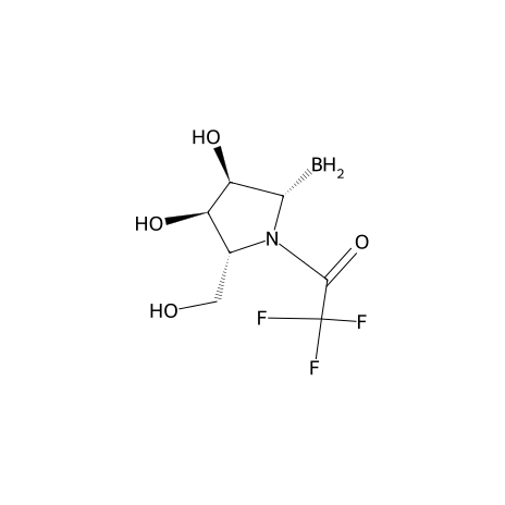 B[C@H]1[C@H](O)[C@H](O)[C@@H](CO)N1C(=O)C(F)(F)F